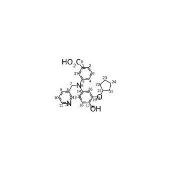 O=C(O)c1cccc(N(Cc2cccnc2)c2ccc(O)c(OC3CCCC3)c2)c1